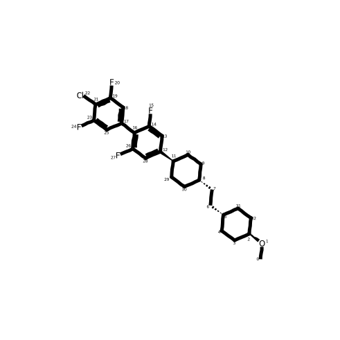 CO[C@H]1CC[C@H](CC[C@H]2CC[C@H](c3cc(F)c(-c4cc(F)c(Cl)c(F)c4)c(F)c3)CC2)CC1